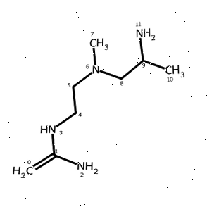 C=C(N)NCCN(C)CC(C)N